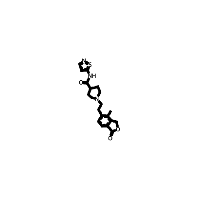 Cc1c(CCN2CCC(C(=O)Nc3ccns3)CC2)ccc2c1COC2=O